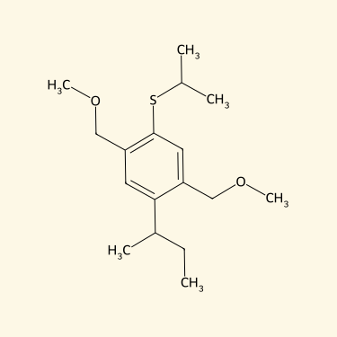 CCC(C)c1cc(COC)c(SC(C)C)cc1COC